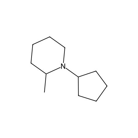 CC1CCCCN1C1CCCC1